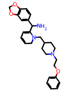 NC(C1=CC=CCN1CC1CCN(CCOc2ccccc2)CC1)c1ccc2c(c1)OCO2